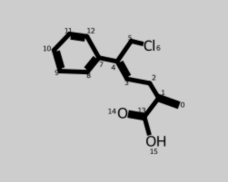 C=C(CC=C(CCl)c1ccccc1)C(=O)O